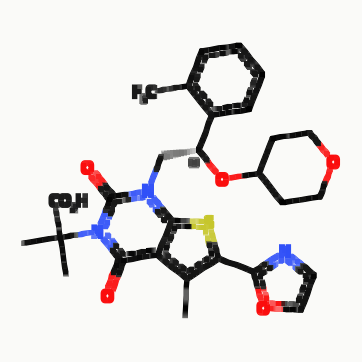 Cc1c(-c2ncco2)sc2c1c(=O)n(C(C)(C)C(=O)O)c(=O)n2C[C@@H](OC1CCOCC1)c1ccccc1C(F)(F)F